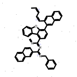 C=N/C(=N\C(=N/Cc1ccccc1)c1ccc2ccccc2c1)c1ccc(-c2cc3ccccc3cc2/C=C\C=C/C)c2oc3ccccc3c12